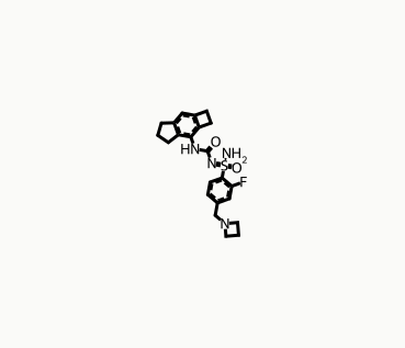 N[S@@](=O)(=NC(=O)Nc1c2c(cc3c1CC3)CCC2)c1ccc(CN2CCC2)cc1F